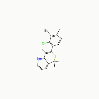 CCc1c(C)ccc(C2=C(C)c3ncccc3C(C)(C)S2)c1Cl